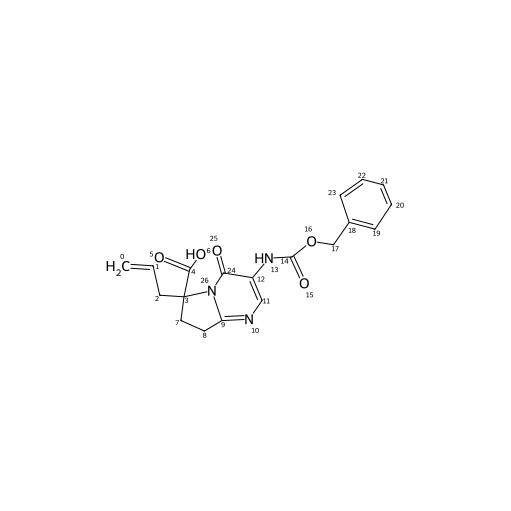 C=CCC1(C(=O)O)CCc2ncc(NC(=O)OCc3ccccc3)c(=O)n21